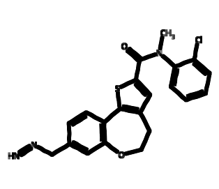 CN(C(=O)c1cc2c(s1)-c1ccc(CN=N)cc1OCC2)c1ccccc1Cl